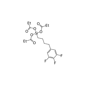 CCC(=O)O[Si](CCCCc1cc(F)c(F)c(F)c1)(OC(=O)CC)OC(=O)CC